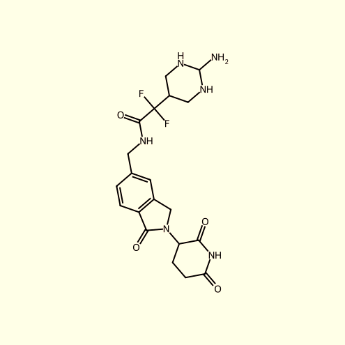 NC1NCC(C(F)(F)C(=O)NCc2ccc3c(c2)CN(C2CCC(=O)NC2=O)C3=O)CN1